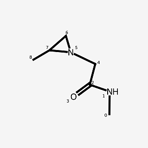 CNC(=O)CN1CC1C